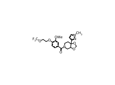 COc1cc(C(=O)N2CCC3(c4ccn(C)n4)OCOC3C2)ccc1OCCOC(F)(F)F